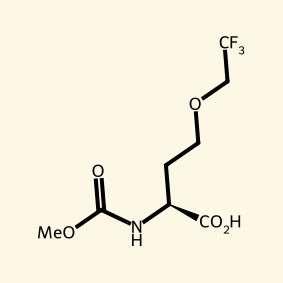 COC(=O)N[C@@H](CCOCC(F)(F)F)C(=O)O